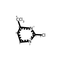 Clc1n[c]cc(C(Cl)(Cl)Cl)n1